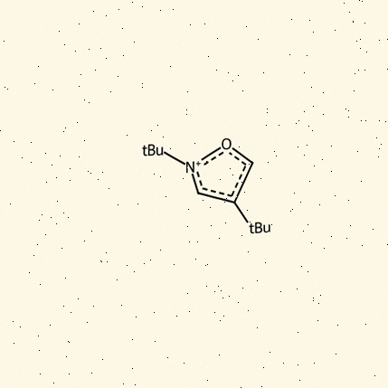 CC(C)(C)c1co[n+](C(C)(C)C)c1